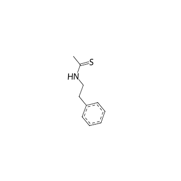 CC(=S)NCCc1ccccc1